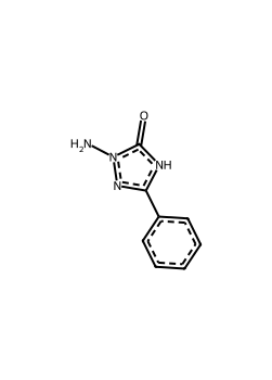 Nn1nc(-c2ccccc2)[nH]c1=O